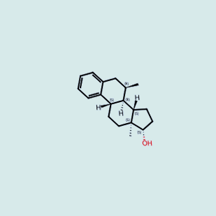 C[C@@H]1Cc2ccccc2[C@H]2CC[C@]3(C)[C@@H](O)CC[C@H]3[C@H]12